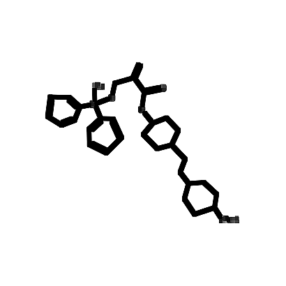 C=C(CO[Si](c1ccccc1)(c1ccccc1)C(C)(C)C)C(=O)OC1CCC(CCC2CCC(CCCCC)CC2)CC1